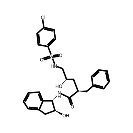 O=C(N[C@H]1c2ccccc2C[C@@H]1O)[C@H](Cc1ccccc1)C[C@H](O)CNS(=O)(=O)c1ccc(Cl)cc1